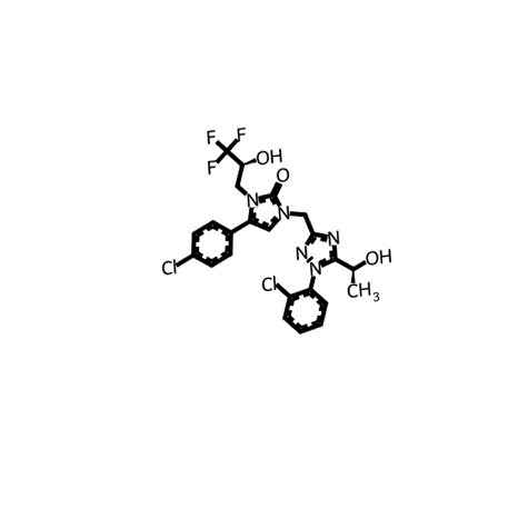 C[C@H](O)c1nc(Cn2cc(-c3ccc(Cl)cc3)n(C[C@H](O)C(F)(F)F)c2=O)nn1-c1ccccc1Cl